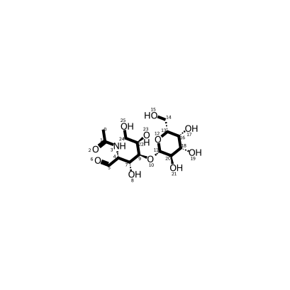 CC(=O)N[C@@H](C=O)[C@@H](O)[C@H](O[C@@H]1O[C@H](CO)[C@H](O)[C@H](O)[C@H]1O)[C@H](O)CO